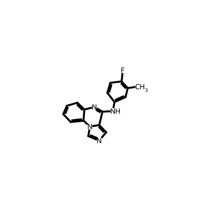 Cc1cc(Nc2nc3ccccc3n3cncc23)ccc1F